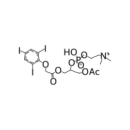 CC(=O)OCC(COC(=O)COc1c(I)cc(I)cc1I)OP(=O)(O)OCC[N+](C)(C)C